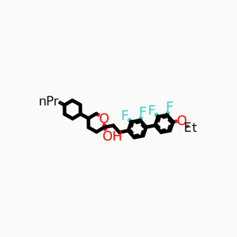 CCCC1CCC(C2CCC(O)(CCc3ccc(-c4ccc(OCC)c(F)c4F)c(F)c3F)OC2)CC1